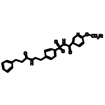 CCOC(=O)Oc1ccc(C(=O)NS(=O)(=O)c2ccc(CCNC(=O)CCc3ccccc3)cc2)cn1